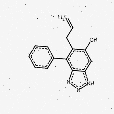 C=CCc1c(O)cc2[nH]nnc2c1-c1ccccc1